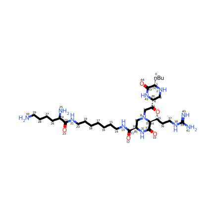 CCCC[C@@H]1NC[C@H](C(=O)CN2C[C@H](C(=O)NCCCCCCCNC(=O)C(N)CCCCN)NC(=O)[C@@H]2CCCNC(=N)N)NC1=O